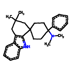 CN(C)C1(c2ccccc2)CCC2(CC1)CC(C)(C)Cc1c2[nH]c2ccccc12